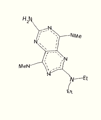 CCN(CC)c1nc(NC)c2nc(N)nc(NC)c2n1